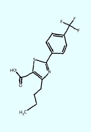 CCCCc1nc(-c2ccc(C(F)(F)F)cc2)sc1C(=O)O